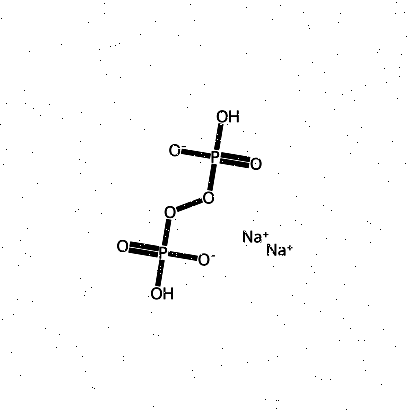 O=P([O-])(O)OOP(=O)([O-])O.[Na+].[Na+]